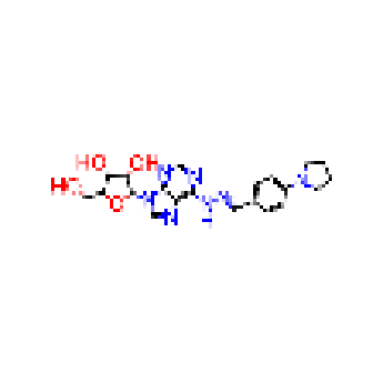 OCC1OC(n2cnc3c(N/N=C/c4ccc(N5CCCC5)cc4)ncnc32)C(O)C1O